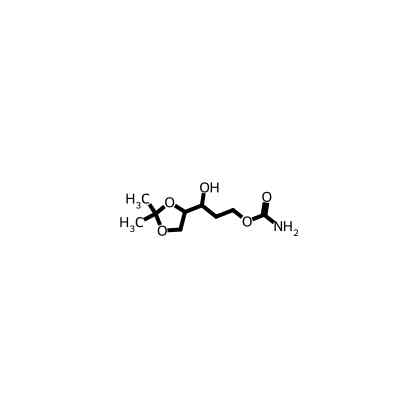 CC1(C)OCC(C(O)CCOC(N)=O)O1